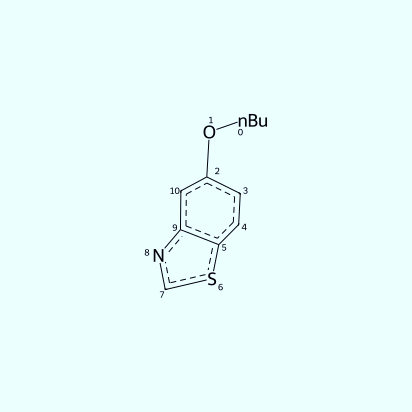 CCCCOc1ccc2scnc2c1